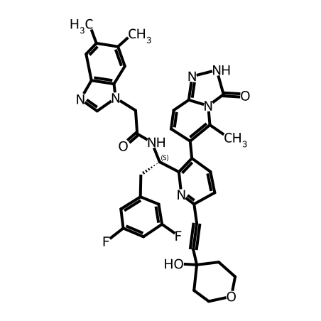 Cc1cc2ncn(CC(=O)N[C@@H](Cc3cc(F)cc(F)c3)c3nc(C#CC4(O)CCOCC4)ccc3-c3ccc4n[nH]c(=O)n4c3C)c2cc1C